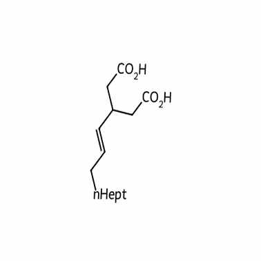 CCCCCCCCC=CC(CC(=O)O)CC(=O)O